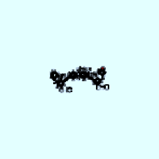 CCCCCCN1c2ccc(C#Cc3cc(C=O)cc4c3N(CCCCCC)c3ccccc3S4)cc2Sc2cc(C#Cc3cc(C=O)cc4c3N(CCCCCC)c3ccccc3S4)ccc21